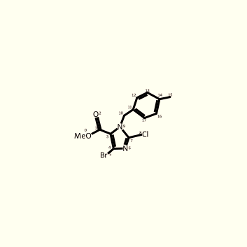 COC(=O)c1c(Br)nc(Cl)n1Cc1ccc(C)cc1